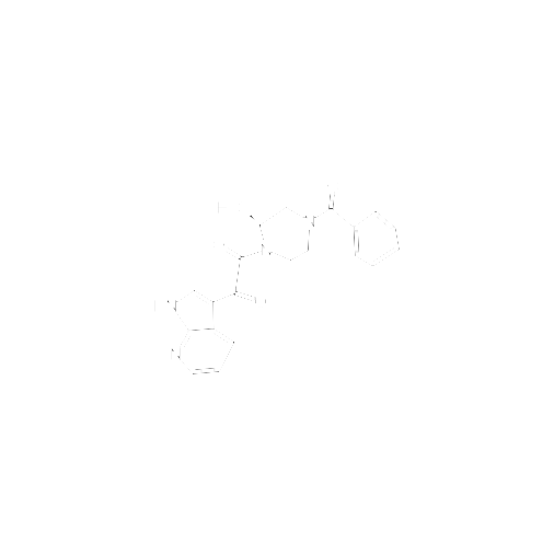 C[C@H]1CN(C(=O)c2ccccc2)CCN1C(=O)C(=O)c1c[nH]c2ncccc12